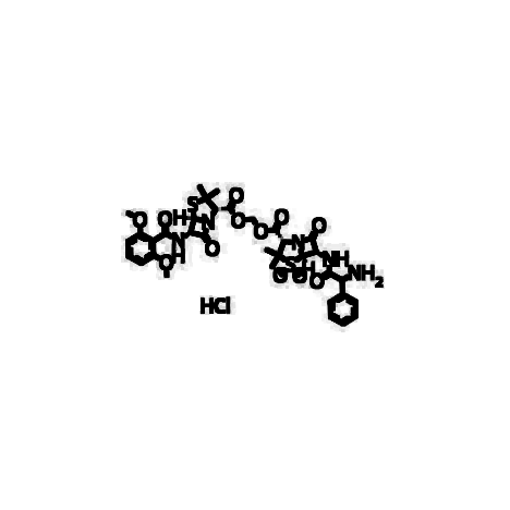 COc1cccc(OC)c1C(=O)N[C@@H]1C(=O)N2[C@@H]1SC(C)(C)[C@@H]2C(=O)OCOC(=O)[C@@H]1N2C(=O)[C@@H](NC(=O)C(N)c3ccccc3)[C@H]2S(=O)(=O)C1(C)C.Cl